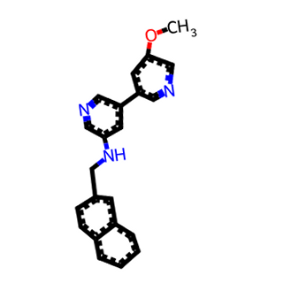 COc1cncc(-c2cncc(NCc3ccc4ccccc4c3)c2)c1